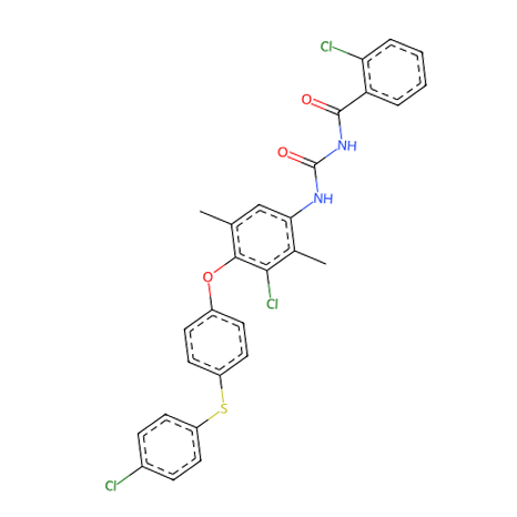 Cc1cc(NC(=O)NC(=O)c2ccccc2Cl)c(C)c(Cl)c1Oc1ccc(Sc2ccc(Cl)cc2)cc1